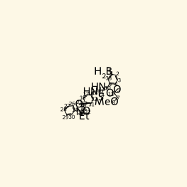 Bc1ccc(OCCOC)c(C(=O)NC(=S)Nc2ccc(S(=O)(=O)N(CC)c3ccccc3)cc2)c1